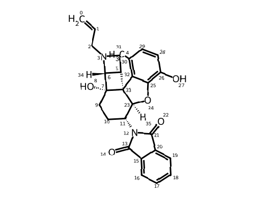 C=CCN1CC2[C@@H]1[C@]1(O)CC[C@@H](N3C(=O)c4ccccc4C3=O)[C@@H]3Oc4c(O)ccc(C)c4[C@@]231